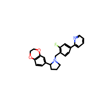 Fc1cc(-c2ccccn2)ccc1CN1CCCC1c1ccc2c(c1)OCCO2